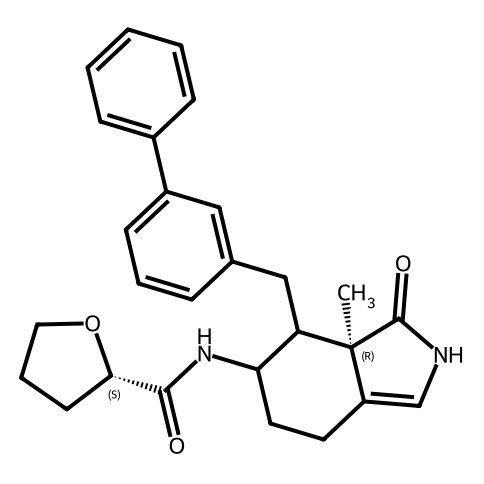 C[C@]12C(=O)NC=C1CCC(NC(=O)[C@@H]1CCCO1)C2Cc1cccc(-c2ccccc2)c1